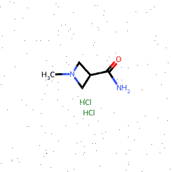 CN1CC(C(N)=O)C1.Cl.Cl